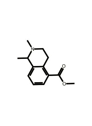 COC(=O)c1cccc2c1CCN(C)C2C